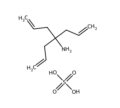 C=CCC(N)(CC=C)CC=C.O=S(=O)(O)O